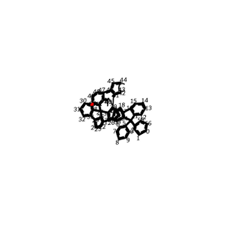 c1ccc(C2(c3ccccc3)c3ccccc3-c3ccc(-c4cccc5c4C4(c6ccccc6-5)c5ccccc5-n5c6ccccc6c6cccc4c65)cc32)cc1